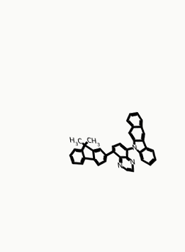 CC1(C)c2ccccc2-c2ccc(-c3ccc(-n4c5ccccc5c5cc6ccccc6cc54)c4nccnc34)cc21